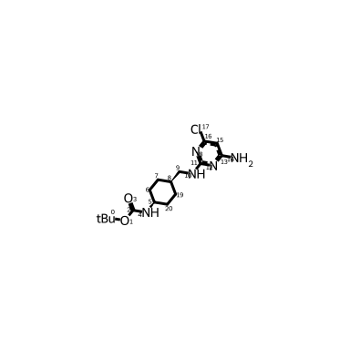 CC(C)(C)OC(=O)N[C@H]1CC[C@@H](CNc2nc(N)cc(Cl)n2)CC1